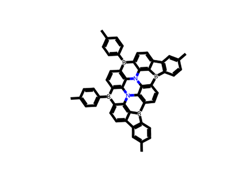 Cc1ccc(B2c3ccc4c5c3N3c6c2ccc2c6N6c7c(ccc8c7B(c7ccc(C)cc7-8)c7ccc(c3c76)B5c3ccc(C)cc3-4)B2c2ccc(C)cc2)cc1